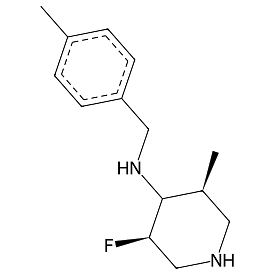 Cc1ccc(CNC2[C@H](F)CNC[C@@H]2C)cc1